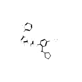 COc1ccc(NC(=O)Nc2ncc(Sc3ccccn3)s2)c(C(=O)C2CCCC2)c1